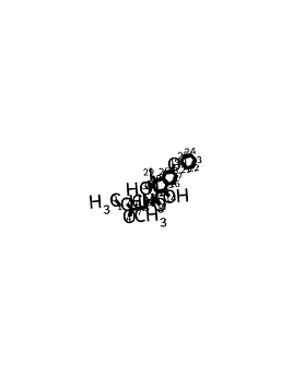 CCOC(=O)C(C)(C)CNC(=O)C1=C(O)c2ccc(Oc3ccccc3)cc2C(I)N1O